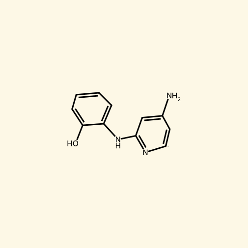 Nc1c[c]nc(Nc2ccccc2O)c1